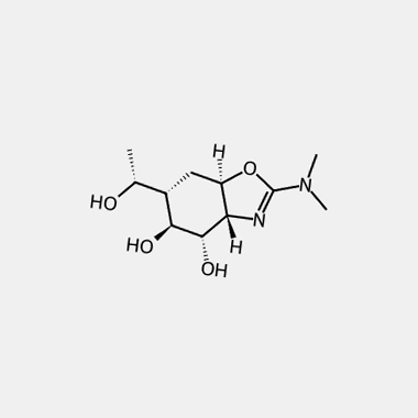 C[C@@H](O)[C@@H]1C[C@H]2OC(N(C)C)=N[C@@H]2[C@H](O)[C@H]1O